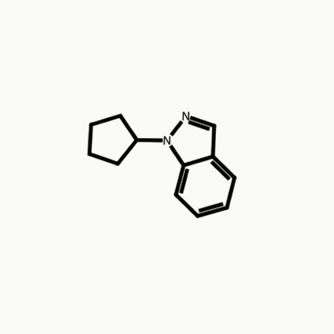 c1ccc2c(c1)cnn2C1CCCC1